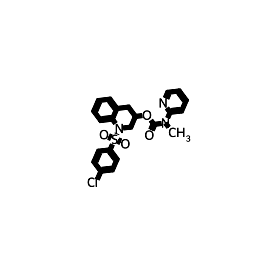 CN(C(=O)OC1Cc2ccccc2N(S(=O)(=O)c2ccc(Cl)cc2)C1)c1ccccn1